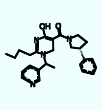 CCCCC1=NC(O)=C(C(=O)N2CC[C@H](c3ccccc3)C2)CN1C(C)c1cccnc1